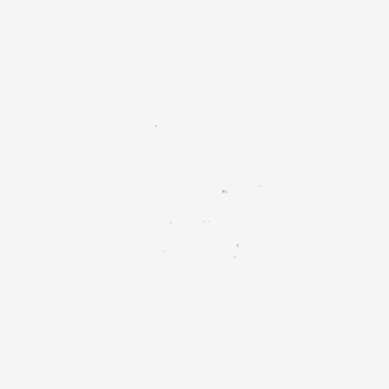 O=C(OO)C1OCC(OS(=O)(=O)O)[C@H](O)[C@@H]1O